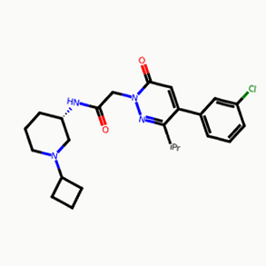 CC(C)c1nn(CC(=O)N[C@H]2CCCN(C3CCC3)C2)c(=O)cc1-c1cccc(Cl)c1